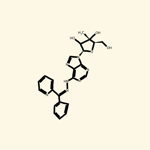 C[C@]1(O)C(O)[C@H](n2cnc3c(NN=C(c4ccccc4)c4ccccn4)ncnc32)O[C@@H]1CO